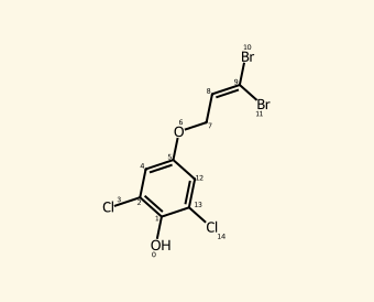 Oc1c(Cl)cc(OCC=C(Br)Br)cc1Cl